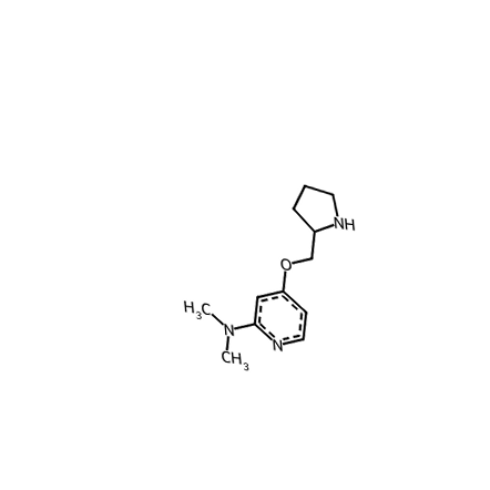 CN(C)c1cc(OCC2CCCN2)ccn1